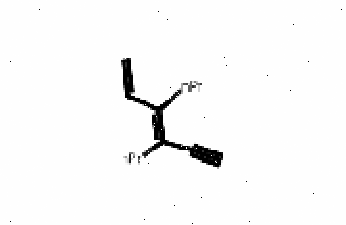 [CH]=C/C(CCC)=C(/C#C)CCC